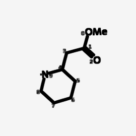 COC(=O)CC1CCCC[N]1